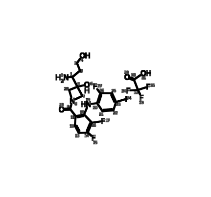 NC(CCO)C1(O)CN(C(=O)c2ccc(F)c(F)c2Nc2ccc(I)cc2F)C1.O=C(O)C(F)(F)F